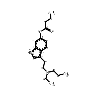 CCCC(=O)Oc1ccc2c(CCN(CC)CCC)c[nH]c2c1